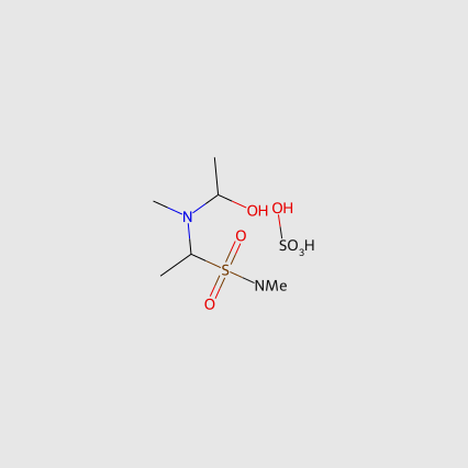 CNS(=O)(=O)C(C)N(C)C(C)O.O=S(=O)(O)O